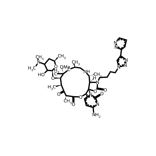 CC[C@H]1OC(=O)[C@H](C)C(=O)[C@@H](C)[C@@H](O[C@@H]2O[C@H](C)CC(N(C)C)C2O)[C@](C)(OC)C[C@@H](C)CN[C@H](C)[C@H]2N(CCCCn3cc(-c4cccnn4)nn3)C(=O)O[C@]12n1ccc(N)nc1=O